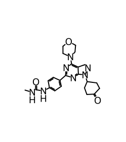 CNC(=O)Nc1ccc(-c2nc(N3CCOCC3)c3cnn(C4CCC(=O)CC4)c3n2)cc1